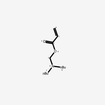 C=CC(=O)OCN(CCCC)CCCC